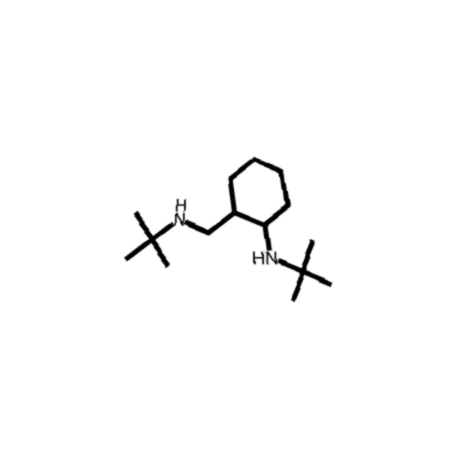 CC(C)(C)NCC1CCCCC1NC(C)(C)C